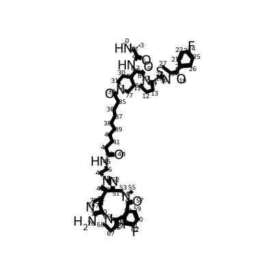 CN[C@H](C)C(=O)N[C@@H](C(=O)N1CCC[C@@H]1C1=NC(C(=O)c2ccc(F)cc2)CS1)C1CCN(C(=O)CCCCCCCCC(=O)NCCn2cc3c(n2)CN(C)C(=O)c2ccc(F)cc2[C@H]2CCCN2c2cc-3cnc2N)CC1